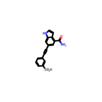 NC(=O)c1cc(C#Cc2cccc(C(=O)O)c2)cc2[nH]ccc12